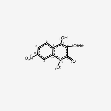 CCn1c(=O)c(OC)c(O)c2ccc([N+](=O)[O-])cc21